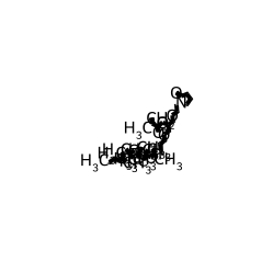 C=C(C)C(=O)OC(COCCC[Si](C)(C)OC(C)(C)[Si](C)(C)OC(C)(C)[Si](C)(C)CCCC)COCCN1CCCC1=O